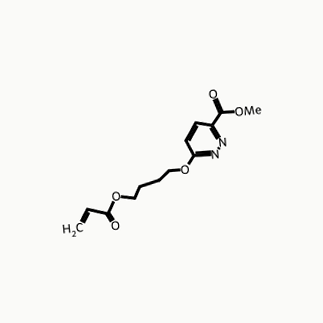 C=CC(=O)OCCCCOc1ccc(C(=O)OC)nn1